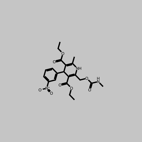 CCOC(=O)C1=C(C)NC(COC(=O)NC)=C(C(=O)OCC)C1c1cccc([N+](=O)[O-])c1